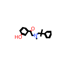 CN(CC(=O)c1cccc(O)c1)CC(C)(C)c1ccccc1